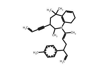 C=CC#CC1CC(C)(C)C2=C(CCC=C2)N(/C(C)=C/CC(C=C)c2ccc(C)cc2)C1C